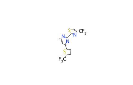 FC(F)(F)c1csc(-c2n[c]cc(-c3ccc(C(F)(F)F)s3)n2)n1